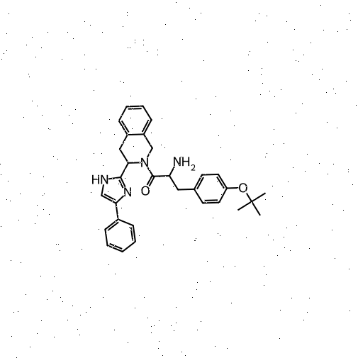 CC(C)(C)Oc1ccc(CC(N)C(=O)N2Cc3ccccc3CC2c2nc(-c3ccccc3)c[nH]2)cc1